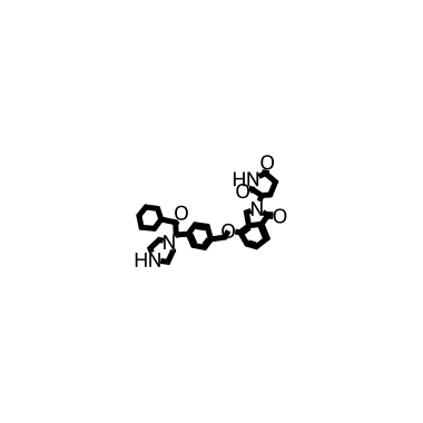 O=C1CCC(N2Cc3c(OCc4ccc(C(C(=O)C5CCCCC5)N5CCNCC5)cc4)cccc3C2=O)C(=O)N1